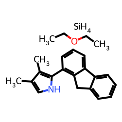 CCOCC.Cc1c[nH]c(-c2cccc3c2Cc2ccccc2-3)c1C.[SiH4]